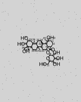 C[C@@H]1CC[C@]2(C(=O)OC3OC(CO)C(O)C(O)C3O)CC[C@]3(C)C(=CCC4[C@@]5(C)C[C@@H](O)[C@H](O)[C@@](C)(CO)C5CC[C@]43C)C2[C@]1(C)O